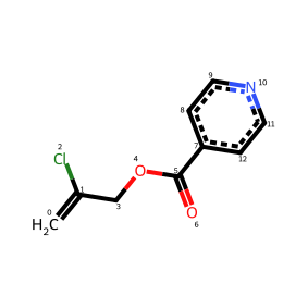 C=C(Cl)COC(=O)c1ccncc1